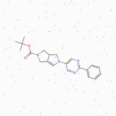 CC(C)(C)OC(=O)N1CC2=CN(c3cnc(-c4ccccc4)nc3)CC2C1